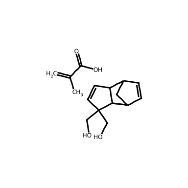 C=C(C)C(=O)O.OCC1(CO)C=CC2C3C=CC(C3)C21